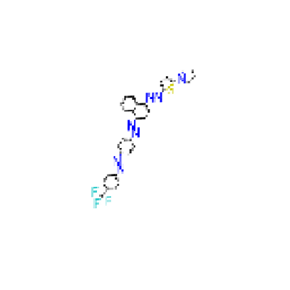 FC(F)(F)c1ccc(/N=N/c2ccc(/N=N/c3ccc(/N=N/c4ccc(N5CCCC5)s4)c4ccccc34)cc2)cc1